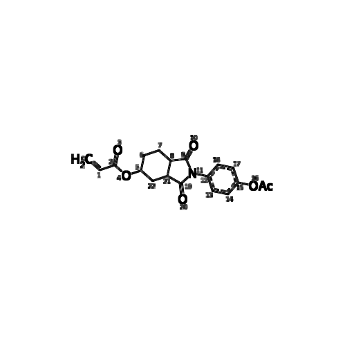 C=CC(=O)OC1CCC2C(=O)N(c3ccc(OC(C)=O)cc3)C(=O)C2C1